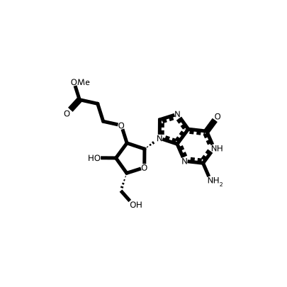 COC(=O)CCOC1C(O)[C@@H](CO)O[C@H]1n1cnc2c(=O)[nH]c(N)nc21